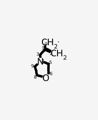 [CH2]C(=C)CN1CCOCC1